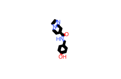 O=C(NCc1ccc(O)cc1)c1ccn2ccnc2c1